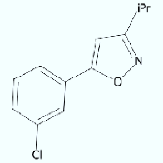 CC(C)c1cc(-c2cccc(Cl)c2)on1